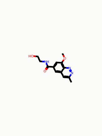 COc1cc(C(=O)NCCO)cc2cc(C)nnc12